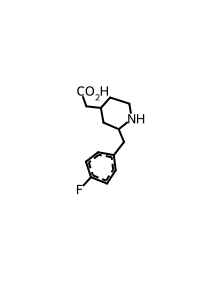 O=C(O)CC1CCNC(Cc2ccc(F)cc2)C1